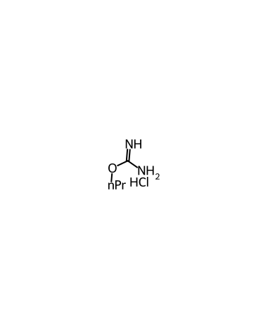 CCCOC(=N)N.Cl